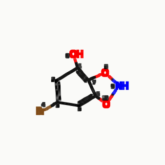 Oc1cc(Br)cc2c1ONO2